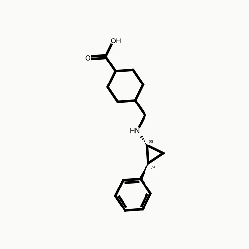 O=C(O)C1CCC(CN[C@@H]2C[C@H]2c2ccccc2)CC1